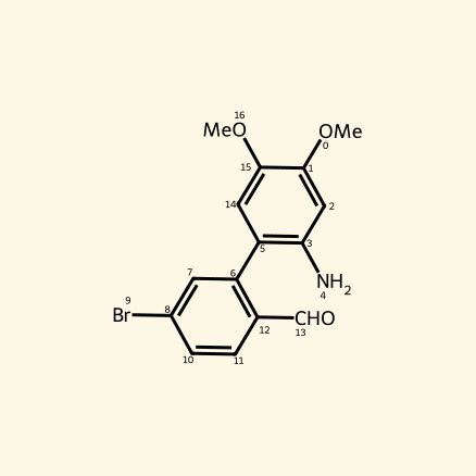 COc1cc(N)c(-c2cc(Br)ccc2C=O)cc1OC